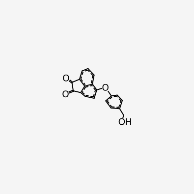 O=C1C(=O)c2ccc(Oc3ccc(CO)cc3)c3cccc1c23